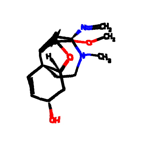 C=N[C@H]1c2ccc(OC)c3c2[C@@]2(C=C[C@@H](O)C[C@@H]2O3)CCN1C